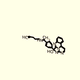 C#CCCCNC(=C)c1ccc(C2(O)N=C3N=CC=C4c5ccccc5N=C2N43)cc1